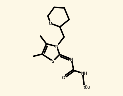 Cc1s/c(=N\C(=O)NC(C)(C)C)n(CC2CCCCO2)c1C